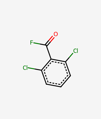 O=C(F)c1c(Cl)cccc1Cl